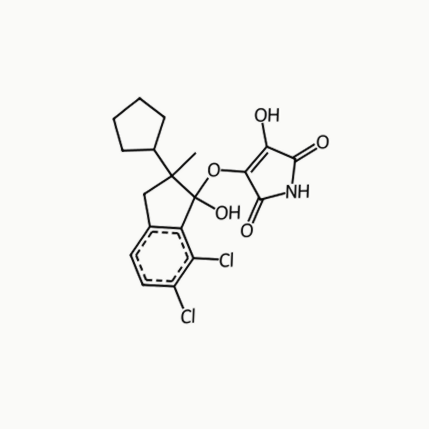 CC1(C2CCCC2)Cc2ccc(Cl)c(Cl)c2C1(O)OC1=C(O)C(=O)NC1=O